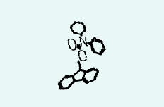 O=C(OCC1c2ccccc2-c2ccccc21)N(c1ccccc1)C1CCCCC1